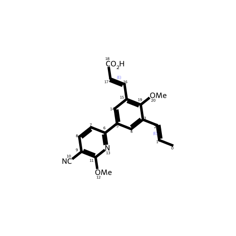 C/C=C/c1cc(-c2ccc(C#N)c(OC)n2)cc(/C=C/C(=O)O)c1OC